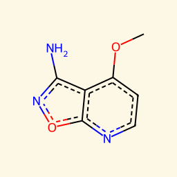 COc1ccnc2onc(N)c12